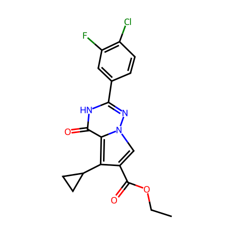 CCOC(=O)c1cn2nc(-c3ccc(Cl)c(F)c3)[nH]c(=O)c2c1C1CC1